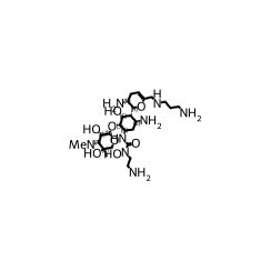 CN[C@@H]1[C@@H](O)[C@@H](O[C@H]2[C@H](NC(=O)N(O)CCN)C[C@H](N)C([C@H]3OC(CNCCCN)=CC[C@H]3N)[C@@H]2O)OC[C@]1(C)O